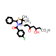 CC1(C)SC(c2ccccc2)N(C(=O)c2ccc(F)cc2)[C@H]1C=CC(=O)CC(O)CC(=O)O